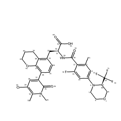 Cc1cc(N2CCOC[C@@H]2C(F)(F)F)cc(F)c1C(=O)N[C@@H](Cc1ccc(-c2cc(Cl)c(C)n(C)c2=O)c2c1CCCO2)C(=O)O